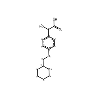 O=C(O)C(O)c1ccc(OCC2CCCCO2)cc1